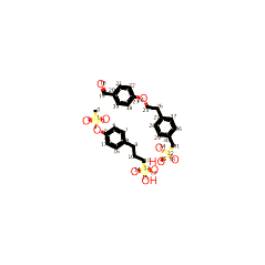 CS(=O)(=O)Oc1ccc(CCCS(=O)(=O)O)cc1.O=Cc1ccc(OCCc2ccc(CS(=O)(=O)O)cc2)cc1